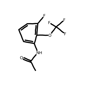 CC(=O)Nc1cccc(F)c1OC(F)(F)F